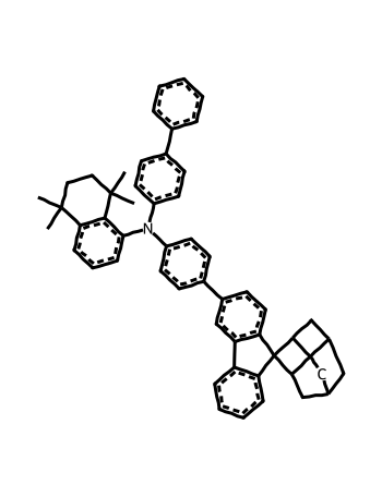 CC1(C)CCC(C)(C)c2c(N(c3ccc(-c4ccccc4)cc3)c3ccc(-c4ccc5c(c4)-c4ccccc4C54C5CC6CC7CC4C75C6)cc3)cccc21